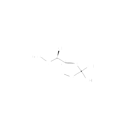 CCCCO[C@@H](C)[C@H]1COC(C)(C)O1